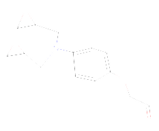 O=CCOc1ccc(N(CC2CO2)CC2CO2)cc1